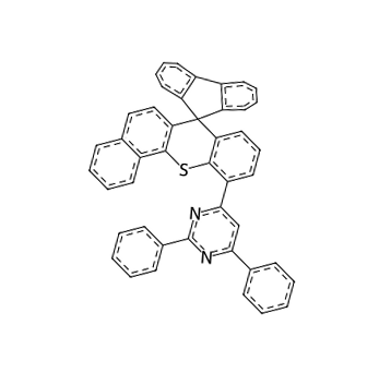 c1ccc(-c2cc(-c3cccc4c3Sc3c(ccc5ccccc35)C43c4ccccc4-c4ccccc43)nc(-c3ccccc3)n2)cc1